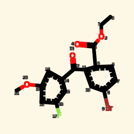 CCOC(=O)c1ccc(Br)cc1C(=O)c1cc(F)cc(OC)c1